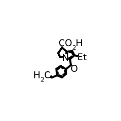 C=Cc1ccc(C(=O)c2c(CC)cc3n2CCC3C(=O)O)cc1